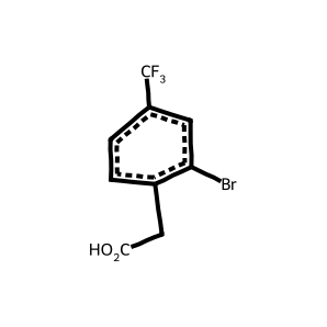 O=C(O)Cc1ccc(C(F)(F)F)cc1Br